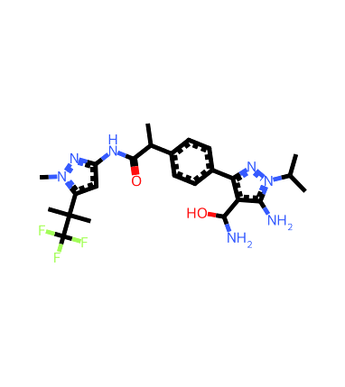 CC(C(=O)Nc1cc(C(C)(C)C(F)(F)F)n(C)n1)c1ccc(-c2nn(C(C)C)c(N)c2C(N)O)cc1